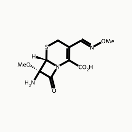 CON=CC1=C(C(=O)O)N2C(=O)[C@](N)(OC)[C@@H]2SC1